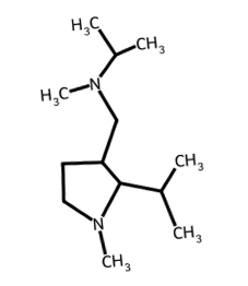 CC(C)C1C(CN(C)C(C)C)CCN1C